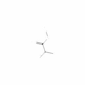 CC(C)C(=O)[NH][AlH2]